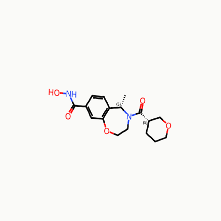 C[C@H]1c2ccc(C(=O)NO)cc2OCCN1C(=O)[C@H]1CCCOC1